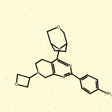 Nc1ccc(-c2nc3c(c(N4C5CCC4COC5)n2)CCN(C2COC2)C3)cc1